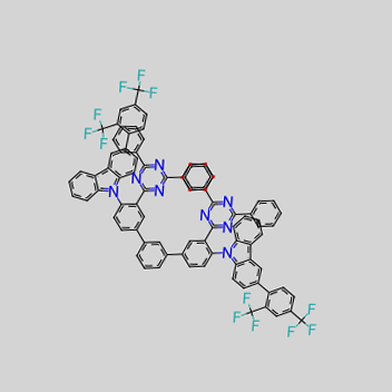 FC(F)(F)c1ccc(-c2ccc3c(c2)c2ccccc2n3-c2ccc(-c3cccc(-c4ccc(-n5c6ccccc6c6cc(-c7ccc(C(F)(F)F)cc7C(F)(F)F)ccc65)c(-c5nc(-c6ccccc6)nc(-c6ccccc6)n5)c4)c3)cc2-c2nc(-c3ccccc3)nc(-c3ccccc3)n2)c(C(F)(F)F)c1